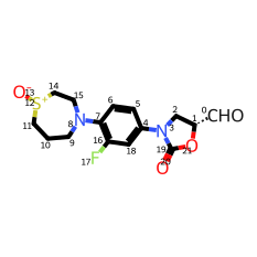 O=C[C@H]1CN(c2ccc(N3CCC[S+]([O-])CC3)c(F)c2)C(=O)O1